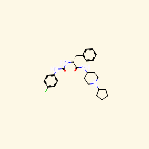 O=C(Nc1ccc(Cl)cc1)N[C@@H](Cc1ccccc1)C(=O)NC1CCN(C2CCCC2)CC1